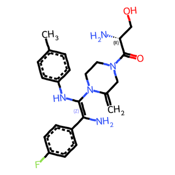 C=C1CN(C(=O)[C@H](N)CO)CCN1/C(Nc1ccc(C)cc1)=C(\N)c1ccc(F)cc1